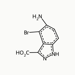 Nc1ccc2[nH]nc(C(=O)O)c2c1Br